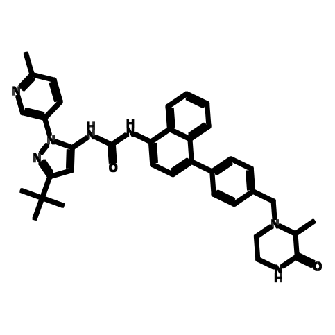 Cc1ccc(-n2nc(C(C)(C)C)cc2NC(=O)Nc2ccc(-c3ccc(CN4CCNC(=O)C4C)cc3)c3ccccc23)cn1